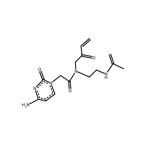 C=CC(=O)CN(CCNC(=C)C)C(=O)Cn1ccc(N)nc1=O